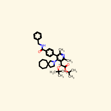 Cc1nc(C)c([C@H](OC(C)(C)C)C(=O)OC(C)C)c(N2CCC3(CCCCCC3)C2)c1-c1ccc(C(=O)NCc2ccccc2)cc1